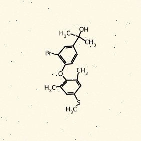 CSc1cc(C)c(Oc2ccc(C(C)(C)O)cc2Br)c(C)c1